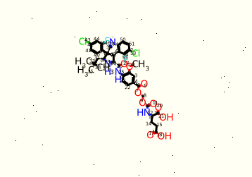 COc1cc(C(=O)OCOC(=O)NC(CCC(=O)O)C(=O)O)ccc1NC(=O)[C@@H]1N[C@@H](CC(C)(C)C)[C@](C#N)(c2ccc(Cl)cc2F)[C@H]1c1cccc(Cl)c1F